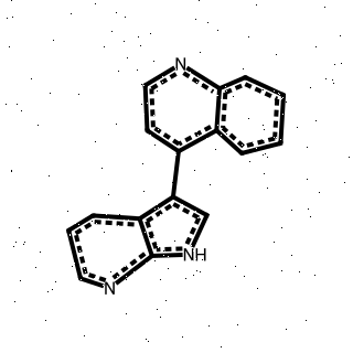 c1ccc2c(-c3c[nH]c4ncccc34)ccnc2c1